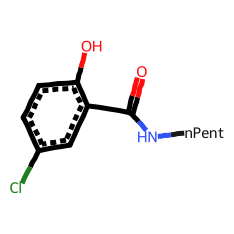 CCCCCNC(=O)c1cc(Cl)ccc1O